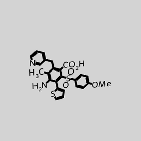 COc1ccc(S(=O)(=O)c2c(C(=O)O)c(Cc3cccnc3)c(C)c(N)c2-c2cccs2)cc1